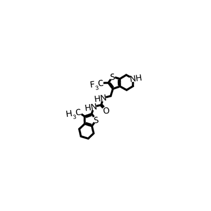 Cc1c(NC(=O)NCc2c(C(F)(F)F)sc3c2CCNC3)sc2c1CCCC2